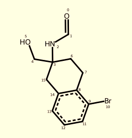 O=CNC1(CO)CCc2c(Br)cccc2C1